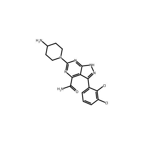 NC(=O)c1nc(N2CCC(N)CC2)nc2[nH]nc(-c3cccc(Cl)c3Cl)c12